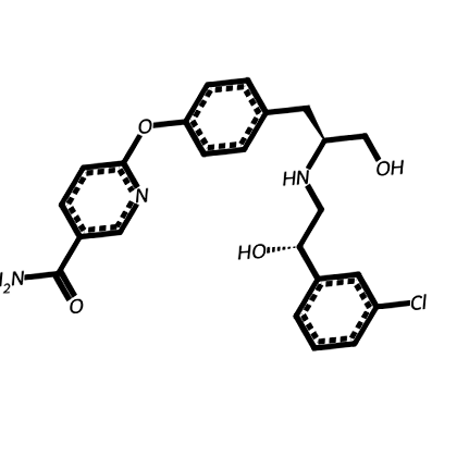 NC(=O)c1ccc(Oc2ccc(C[C@@H](CO)NC[C@@H](O)c3cccc(Cl)c3)cc2)nc1